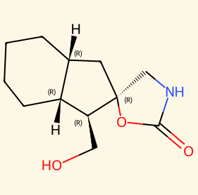 O=C1NC[C@]2(C[C@H]3CCCC[C@H]3[C@@H]2CO)O1